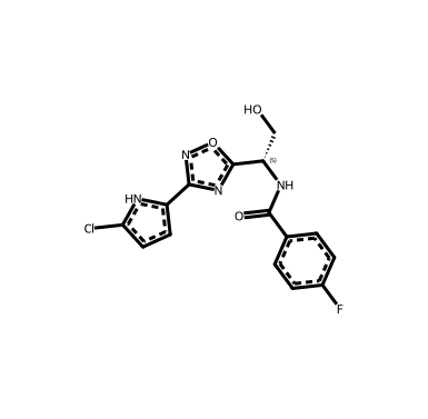 O=C(N[C@@H](CO)c1nc(-c2ccc(Cl)[nH]2)no1)c1ccc(F)cc1